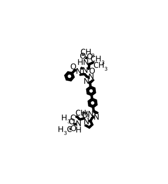 COC(=O)NC(C(=O)N1CN(C(=O)c2ccccc2)CC1C1=NCC(c2ccc(-c3ccc(-c4cnc(C5CCCN5C(=O)C(NC(=O)OC)C(C)C)[nH]4)cc3)cc2)=N1)C(C)C